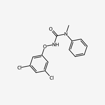 CN(C(=O)NOc1cc(Cl)cc(Cl)c1)c1ccccc1